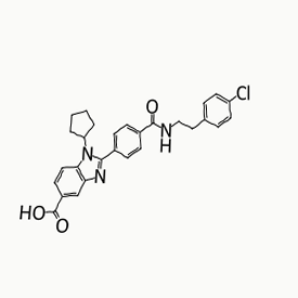 O=C(O)c1ccc2c(c1)nc(-c1ccc(C(=O)NCCc3ccc(Cl)cc3)cc1)n2C1CCCC1